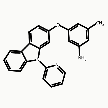 Cc1cc(N)cc(Oc2ccc3c4ccccc4n(-c4ccccn4)c3c2)c1